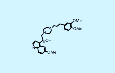 COc1ccc2nccc([C@@H](O)CN3CCN(CCCc4ccc(OC)c(OC)c4)CC3)c2c1